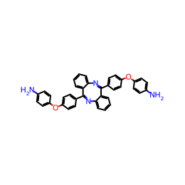 Nc1ccc(Oc2ccc(C3=Nc4ccccc4C(c4ccc(Oc5ccc(N)cc5)cc4)=Nc4ccccc43)cc2)cc1